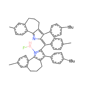 Cc1ccc(/C(=C2/N=C3C(=C2c2ccc(C(C)(C)C)cc2)CCCc2cc(C)ccc23)c2c(-c3ccc(C(C)(C)C)cc3)c3c(n2BF)-c2ccc(C)cc2CCC3)cc1